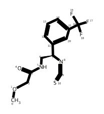 COCC(=O)NC[C@H](N=C=S)c1cccc(C(F)(F)F)c1